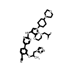 CC(Cn1cnnn1)Oc1cc(-c2cnc(Nc3cn(C4CCC(N5CCOCC5)CC4)nc3OCCOCC(F)F)nc2)ccc1C#N